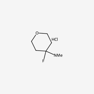 CNC1(F)CCOCC1.Cl